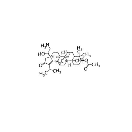 CC(=O)O[C@H]1CCC2(C)C(CC[C@]3(C)[C@@H]2CCC2C4=C(C(C)C)C(=O)C[C@]4(C(O)CN)CC[C@]23C)C1(C)C